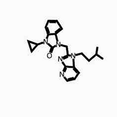 CC(C)CCn1c(Cn2c(=O)n(C3CC3)c3ccccc32)nc2ncccc21